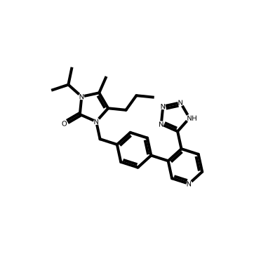 CCCc1c(C)n(C(C)C)c(=O)n1Cc1ccc(-c2cnccc2-c2nnn[nH]2)cc1